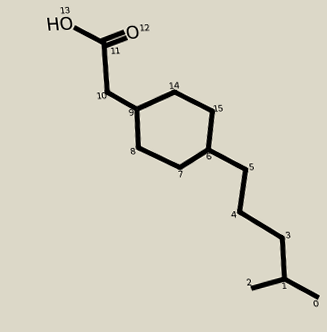 CC(C)CCCC1CCC(CC(=O)O)CC1